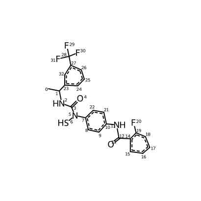 CC(NC(=O)N(S)c1ccc(NC(=O)c2ccccc2F)cc1)c1cccc(C(F)(F)F)c1